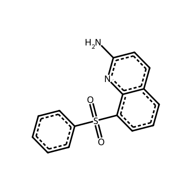 Nc1ccc2cccc(S(=O)(=O)c3ccccc3)c2n1